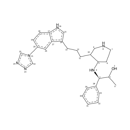 CC(O)[C@H](NC1CCNCC1CCCc1c[nH]c2ccc(-n3cnnc3)cc12)c1ccccc1